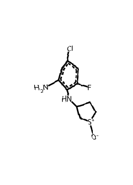 Nc1cc(Cl)cc(F)c1NC1CC[S+]([O-])C1